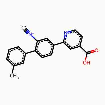 [C-]#[N+]c1cc(-c2cc(C(=O)O)ccn2)ccc1-c1cccc(C)c1